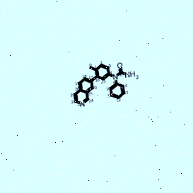 Cc1ccc(N(C(N)=O)c2ccccc2)cc1-c1ccc2ccncc2c1